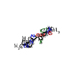 Cc1ncc(-c2cc(F)cc(-c3ccc(-n4ccn(C)c4=O)c(Cl)c3)c2O)cc1N1CCC2CC(C1)N(C(C)C)C2